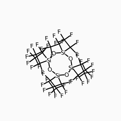 FC(F)(F)C(F)(F)[Si]1(C(F)(F)C(F)(F)F)O[Si](C(F)(F)C(F)(F)F)(C(F)(F)C(F)(F)F)O[Si](C(F)(F)C(F)(F)F)(C(F)(F)C(F)(F)F)O[Si](C(F)(F)C(F)(F)F)(C(F)(F)C(F)(F)F)O1